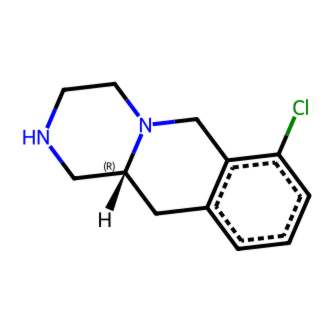 Clc1cccc2c1CN1CCNC[C@H]1C2